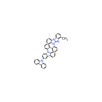 Cc1cccc2c1nc1n(-c3ccccc3-c3ccccc3-n3c4ccccc4c4cc(-n5c6ccccc6c6ccccc65)ccc43)c3ccccc3n21